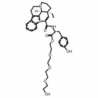 CC[C@@]12C=C(C(=O)N[C@@H](Cc3ccc(O)cc3)C(=O)OCCOCCOCCOCCO)n3c4c(c5ccccc53)CCN(CCC1)[C@H]42